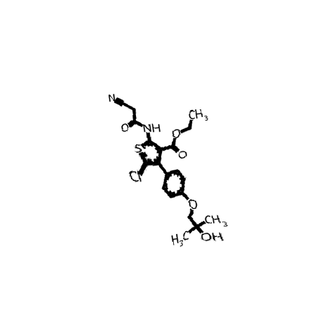 CCOC(=O)c1c(NC(=O)CC#N)sc(Cl)c1-c1ccc(OCC(C)(C)O)cc1